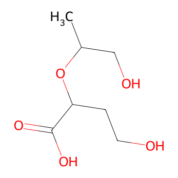 CC(CO)OC(CCO)C(=O)O